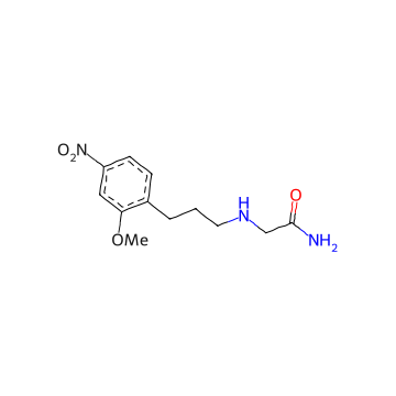 COc1cc([N+](=O)[O-])ccc1CCCNCC(N)=O